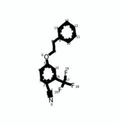 N#Cc1ccc(OCCc2ccccc2)cc1C(F)(F)F